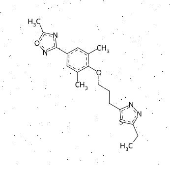 CCc1nnc(CCCOc2c(C)cc(-c3noc(C)n3)cc2C)s1